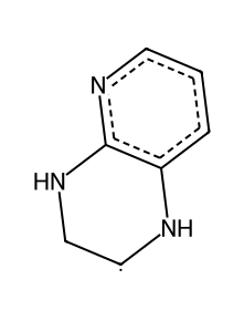 [CH]1CNc2ncccc2N1